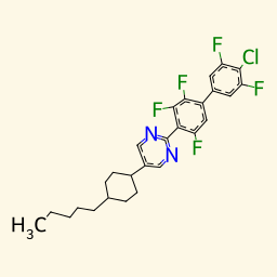 CCCCCC1CCC(c2cnc(-c3c(F)cc(-c4cc(F)c(Cl)c(F)c4)c(F)c3F)nc2)CC1